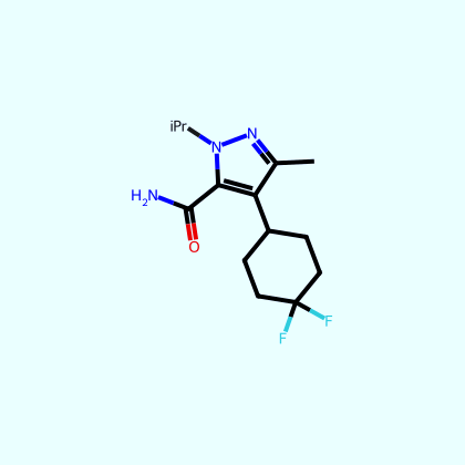 Cc1nn(C(C)C)c(C(N)=O)c1C1CCC(F)(F)CC1